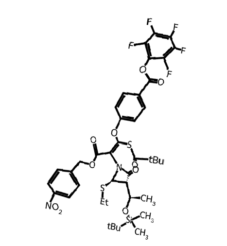 CCS[C@@H]1[C@@H]([C@@H](C)O[Si](C)(C)C(C)(C)C)C(=O)N1C(C(=O)OCc1ccc([N+](=O)[O-])cc1)=C(Oc1ccc(C(=O)Oc2c(F)c(F)c(F)c(F)c2F)cc1)SC(=O)C(C)(C)C